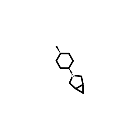 C[C@H]1CC[C@@H](N2CC3CC3C2)CC1